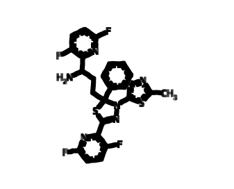 Cc1nnc(N2N=C(c3nc(F)ccc3F)SC2(CCC(N)c2nc(F)ccc2F)c2ccccc2)s1